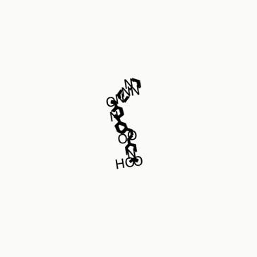 O=C(O)N1CCC(C2OCc3cc(-c4ccc(C(=O)N5CCN(c6ncccn6)CC5)cn4)ccc3O2)CC1